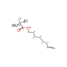 C=CCCCCCCOC(=O)C(C)(CC)C(C)(C)C